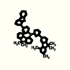 Cc1cc(C)c2c(c1)C(C)(C)c1ccc(-c3cccc(N(c4ccc(-c5cccc6c5sc5ccccc56)cc4)c4cccc5c4-c4ccccc4C5(C)C)c3)cc1-2